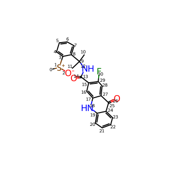 C[S+]([O-])c1ccccc1C(C)(C)NC(=O)c1cc2[nH]c3ccccc3c(=O)c2cc1F